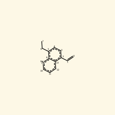 C=Cc1ccc(CC)c2ncccc12